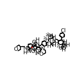 [2H]C([2H])([2H])C1(C([2H])([2H])[2H])CCC(CN2C([2H])([2H])C([2H])([2H])N(c3ccc(C(=O)NS(=O)(=O)c4ccc(NCC5CCOCC5)c([N+](=O)[O-])c4)c(N4CCCOc5nc6[nH]ccc6cc54)c3)C([2H])(C)C2([2H])[2H])=C(c2ccc(Cl)cc2)C1